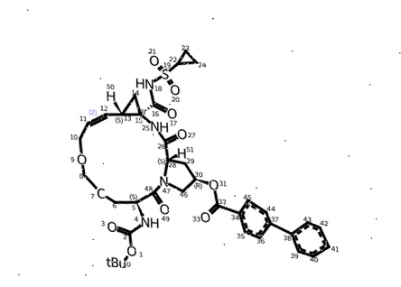 CC(C)(C)OC(=O)N[C@H]1CCCOC/C=C\[C@@H]2C[C@@]2(C(=O)NS(=O)(=O)C2CC2)NC(=O)[C@@H]2C[C@@H](OC(=O)c3ccc(-c4ccccc4)cc3)CN2C1=O